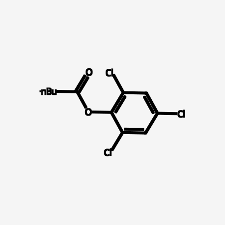 CCC[CH]C(=O)Oc1c(Cl)cc(Cl)cc1Cl